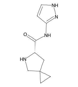 O=C(Nc1cc[nH]n1)[C@@H]1CC2(CC2)CN1